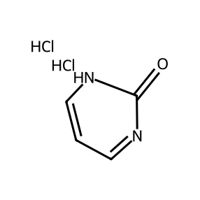 Cl.Cl.O=c1nccc[nH]1